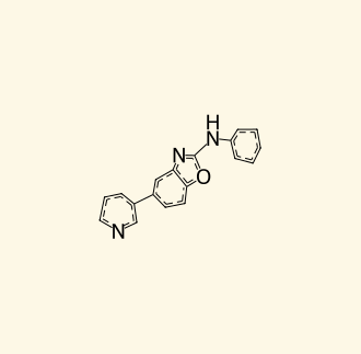 c1ccc(Nc2nc3cc(-c4cccnc4)ccc3o2)cc1